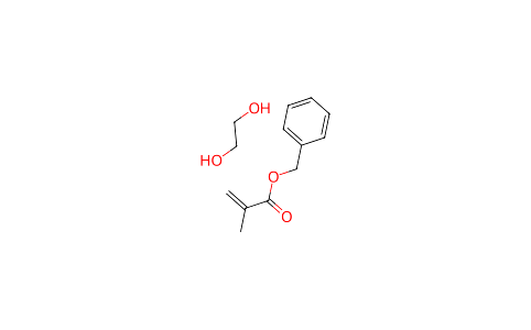 C=C(C)C(=O)OCc1ccccc1.OCCO